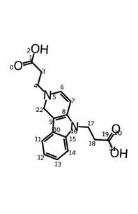 O=C(O)CCN1C=Cc2c(c3ccccc3n2CCC(=O)O)C1